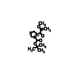 CON(C)C(=O)[C@@H]1CSCN1C(=O)OC(C)(C)C